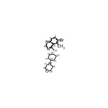 Cc1c(Br)ccc2ncnc(C[C@H]3CC[C@H](N4CCOCC4)CC3)c12